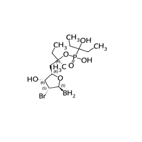 B[C@@H]1O[C@H](C[C@@](C)(CC)OP(=O)(O)C(O)(CC)CC)[C@@H](O)[C@H]1Br